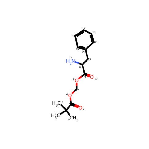 CC(C)(C)C(=O)OCOC(=O)C(N)Cc1ccccc1